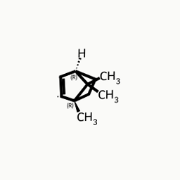 CC1(C)[C@H]2C=[C][C@@]1(C)CC2